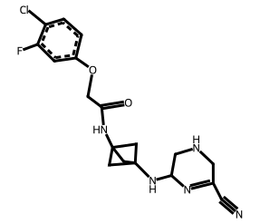 N#CC1=NC(NC23CC(NC(=O)COc4ccc(Cl)c(F)c4)(C2)C3)CNC1